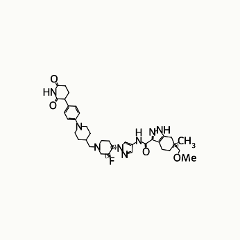 COC[C@@]1(C)CCc2c(C(=O)Nc3cnn([C@H]4CCN(CC5CCN(c6ccc(C7CCC(=O)NC7=O)cc6)CC5)C[C@@H]4F)c3)n[nH]c2C1